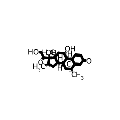 C[C@@H]1C[C@H]2[C@@H]3C[C@H](C)C4=CC(=O)C=C[C@]4(C)[C@H]3[C@@H](O)C[C@]2(C)[C@@]1(O)C(=O)CO